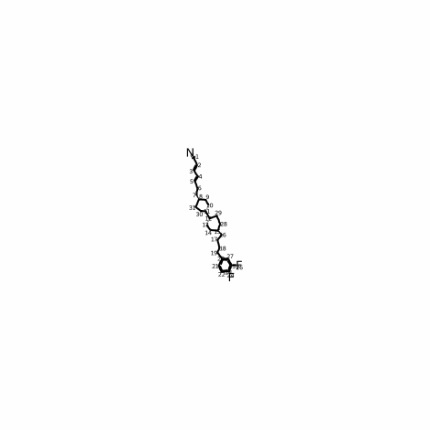 N#CC=CC=CCC[C@H]1CC[C@H]([C@H]2CC[C@H](CCCCc3ccc(F)c(F)c3)CC2)CC1